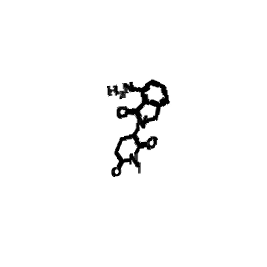 Nc1cccc2c1C(=O)N(C1CCC(=O)N(I)C1=O)C2